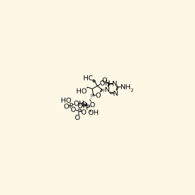 C#CC1(O)C(CO)[C@@H](COP(=O)(O)OP(=O)(O)OP(=O)(O)O)O[C@H]1n1cnc(N)nc1=O